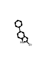 [CH2][CH]c1cc2cc(-c3ccccc3)ccc2[nH]1